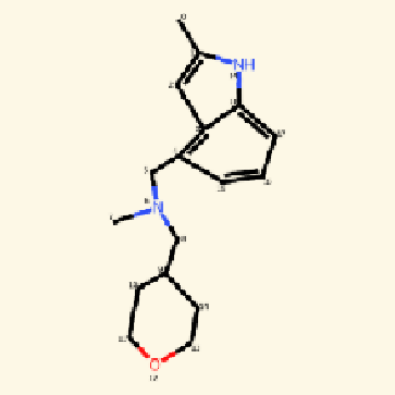 Cc1cc2c(CN(C)CC3CCOCC3)cccc2[nH]1